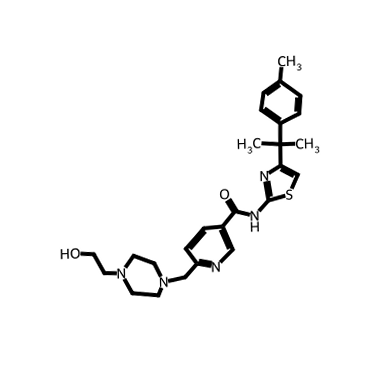 Cc1ccc(C(C)(C)c2csc(NC(=O)c3ccc(CN4CCN(CCO)CC4)nc3)n2)cc1